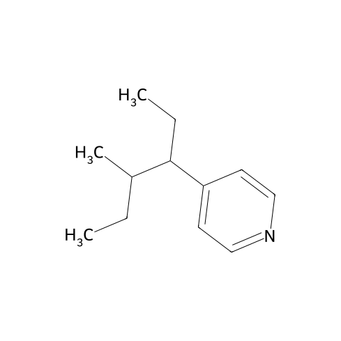 CCC(C)C(CC)c1ccncc1